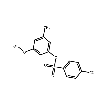 CCCOc1cc(C)cc(OS(=O)(=O)c2ccc(C#N)cc2)c1